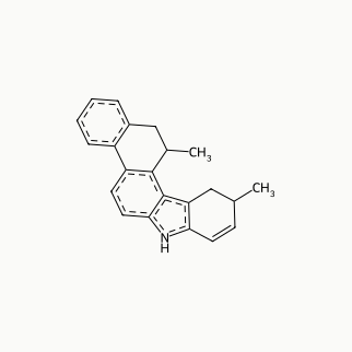 CC1C=Cc2[nH]c3ccc4c(c3c2C1)C(C)Cc1ccccc1-4